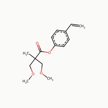 C=Cc1ccc(OC(=O)C(C)(COC)COC)cc1